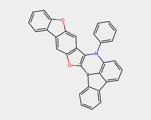 c1ccc(N2c3cccc4c3B(c3ccccc3-4)c3oc4cc5c(cc4c32)oc2ccccc25)cc1